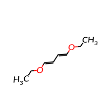 CCOC=CC=COCC